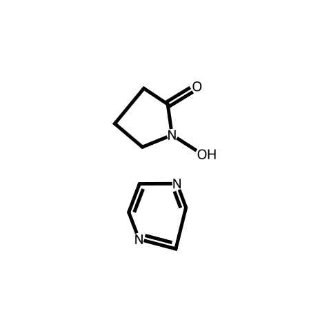 O=C1CCCN1O.c1cnccn1